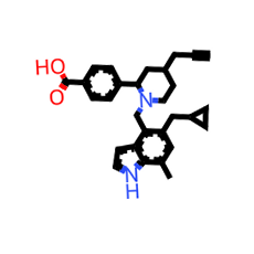 C#CCC1CCN(Cc2c(CC3CC3)cc(C)c3[nH]ccc23)C(c2ccc(C(=O)O)cc2)C1